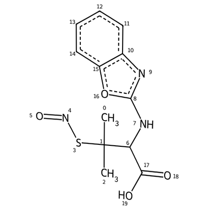 CC(C)(SN=O)C(Nc1nc2ccccc2o1)C(=O)O